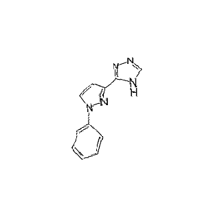 c1ccc(-n2ccc(-c3nnc[nH]3)n2)cc1